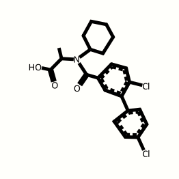 CC(C(=O)O)N(C(=O)c1ccc(Cl)c(-c2ccc(Cl)cc2)c1)C1CCCCC1